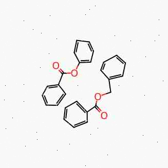 O=C(OCc1ccccc1)c1ccccc1.O=C(Oc1ccccc1)c1ccccc1